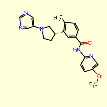 Cc1ccc(C(=O)Nc2ccc(OC(F)(F)F)cn2)cc1[C@@H]1CCN(c2cncnc2)C1